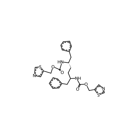 O=C(NC(CC[C@@H](Cc1ccccc1)NC(=O)OCc1cncs1)Cc1ccccc1)OCc1cncs1